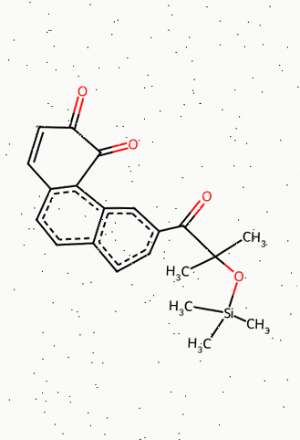 CC(C)(O[Si](C)(C)C)C(=O)c1ccc2ccc3c(c2c1)C(=O)C(=O)C=C3